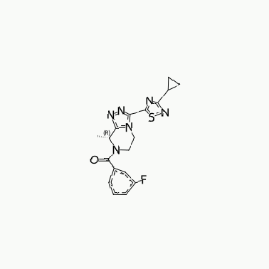 C[C@@H]1c2nnc(-c3nc(C4CC4)ns3)n2CCN1C(=O)c1cccc(F)c1